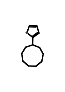 C1=C[P]C(C2CCCCCCCC2)=C1